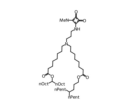 CCCCCCCCC(CCCCCCCC)OC(=O)CCCCCCCN(CCCCCCCC(=O)OCCCC(CCCCC)CCCCC)CCCNc1c(NC)c(=O)c1=O